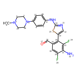 CN1CCN(c2ccc(Nc3ncc(-c4c(C=O)cc(F)c(N)c4F)s3)cc2)CC1